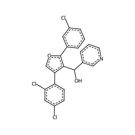 OC(c1cccnc1)c1c(-c2ccc(Cl)cc2Cl)coc1-c1cccc(Cl)c1